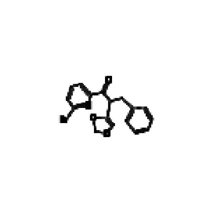 O=C(c1cccc(Br)n1)C(Cc1ccccc1)C1=COCO1